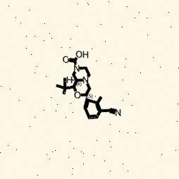 Cc1c(C#N)cccc1[C@H]1CN2CCN(C(=O)O)C[C@@H]2C(C(C)(C)C)O1